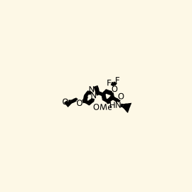 COc1cc(-c2cnc3cc(OCC4CO4)ccn23)cc(OC(F)F)c1C(=O)NC1CC1